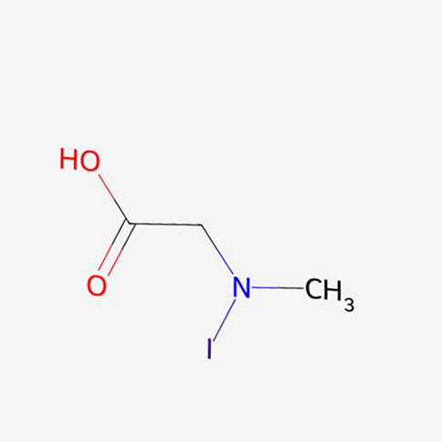 CN(I)CC(=O)O